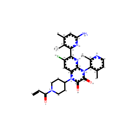 C=CC(=O)N1CCC(n2c(=O)c(=O)n(-c3c(C)ccnc3C(C)C)c3nc(-c4nc(N)cc(C)c4C(F)(F)F)c(F)cc32)CC1